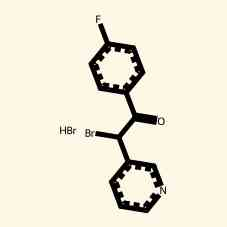 Br.O=C(c1ccc(F)cc1)C(Br)c1cccnc1